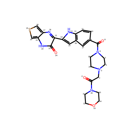 O=C(CN1CCN(C(=O)c2ccc3[nH]c(-c4nc5cscc5[nH]c4=O)cc3c2)CC1)N1CCOCC1